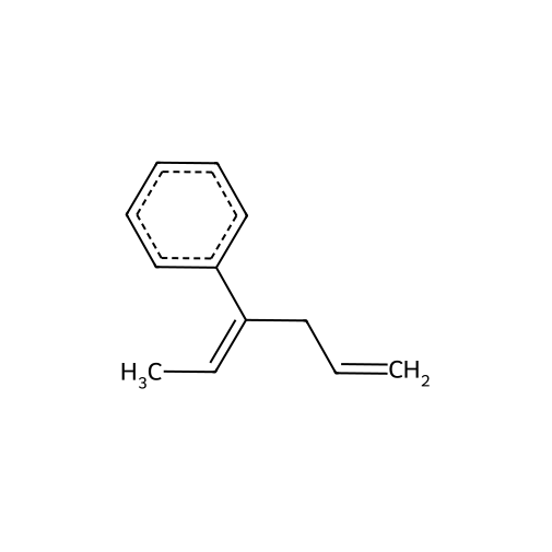 C=CC/C(=C/C)c1ccccc1